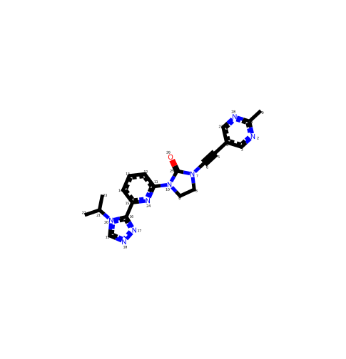 Cc1ncc(C#CN2CCN(c3cccc(-c4nncn4C(C)C)n3)C2=O)cn1